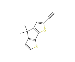 C#Cc1cc2c(s1)-c1sccc1C2(C)C